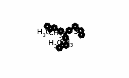 CC1(C)c2ccccc2-c2ccc(-c3ccc(N(c4ccc(-c5cccc6c5C(C)(C)c5ccccc5-6)cc4)c4ccc(-c5cccc6c5sc5c7ccccc7ccc65)cc4)cc3)cc21